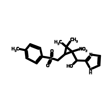 Cc1ccc(S(=O)(=O)CC2C(C)(C)C2(C(O)c2ncc[nH]2)[N+](=O)[O-])cc1